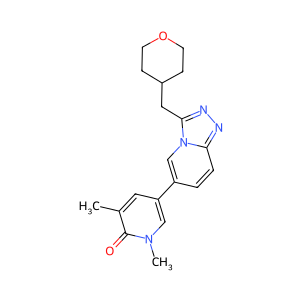 Cc1cc(-c2ccc3nnc(CC4CCOCC4)n3c2)cn(C)c1=O